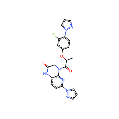 CC(Oc1ccc(-n2cccn2)c(F)c1)C(=O)N1CC(=O)Nc2ccc(-n3cccn3)nc21